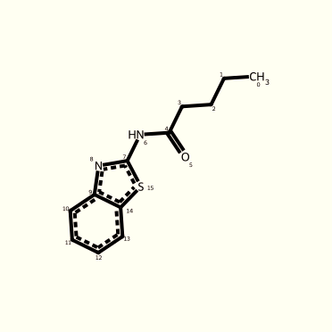 CCCCC(=O)Nc1nc2ccccc2s1